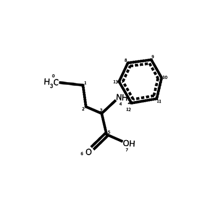 CCCC(N)C(=O)O.c1ccccc1